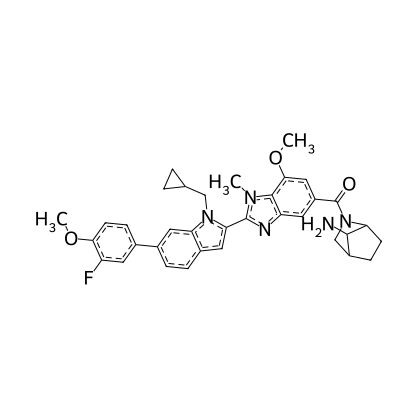 COc1ccc(-c2ccc3cc(-c4nc5cc(C(=O)N6CC7CCC6C7N)cc(OC)c5n4C)n(CC4CC4)c3c2)cc1F